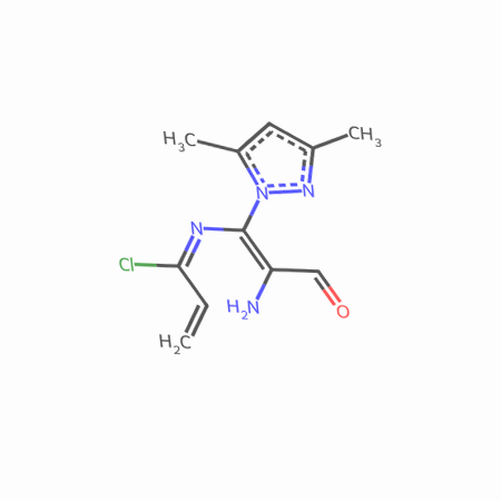 C=C/C(Cl)=N\C(=C(/N)C=O)n1nc(C)cc1C